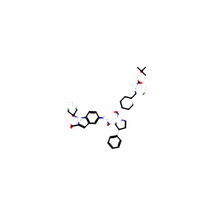 CC(C)(C)OC(=O)N[C@H](CF)[C@H]1CC[C@H](C(=O)N2CC[C@@H](c3ccccc3)[C@H]2C(=O)Nc2ccc3c(c2)cc2n3C(CF)(CF)OC2=O)CC1